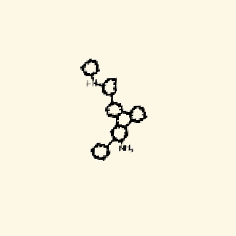 Nc1cc2c3ccccc3c3cc(-c4cccc(Nc5ccccc5)c4)ccc3c2cc1-c1ccccc1